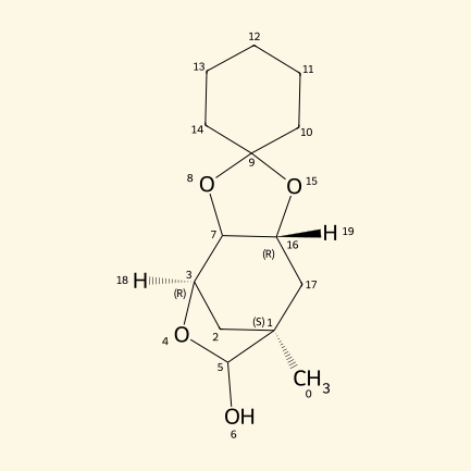 C[C@@]12C[C@@H](OC1O)C1OC3(CCCCC3)O[C@@H]1C2